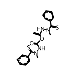 C=C(NN(C)C(=S)c1ccccc1)OC(=O)NN(C)C(=S)c1ccccc1